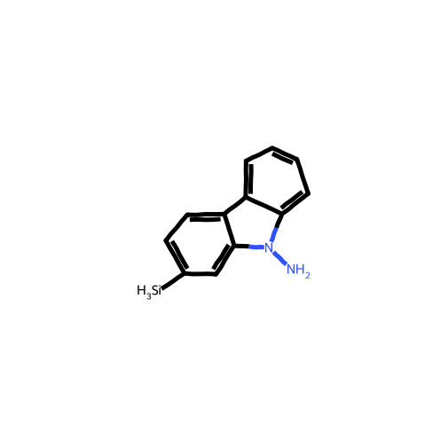 Nn1c2ccccc2c2ccc([SiH3])cc21